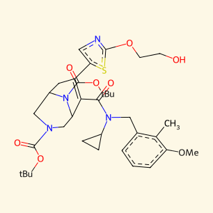 COc1cccc(CN(C(=O)C2=C(c3cnc(OCCO)s3)CC3CN(C(=O)OC(C)(C)C)CC2N3C(=O)OC(C)(C)C)C2CC2)c1C